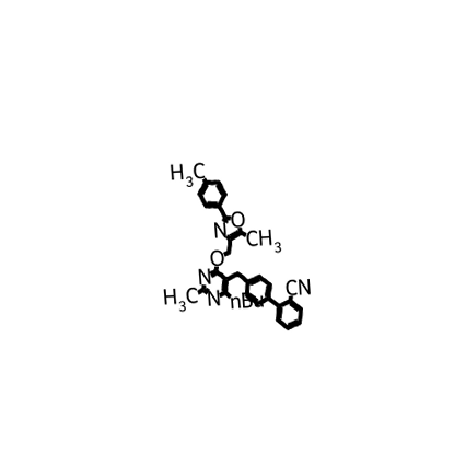 CCCCc1nc(C)nc(OCc2nc(-c3ccc(C)cc3)oc2C)c1Cc1ccc(-c2ccccc2C#N)cc1